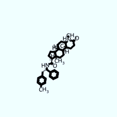 Cc1ccc(C[C@H](NC(=O)[C@H]2CC[C@H]3[C@@H]4CC[C@H]5N(C)C(=O)CC[C@]5(C)[C@H]4CC[C@]23C)c2ccccc2)cc1